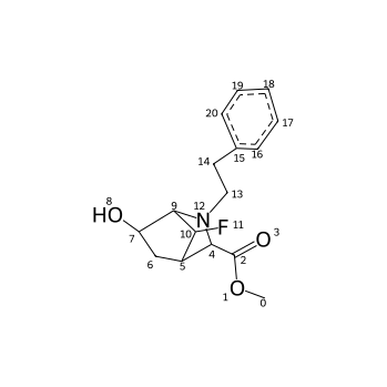 COC(=O)C1C2CC(O)C(C2F)N1CCc1ccccc1